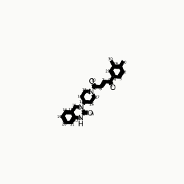 Cc1ccc(C(=O)/C=C/C(=O)N2CCC(N3Cc4ccccc4NC3=O)CC2)cc1C